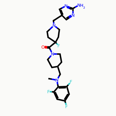 CN(CC1CCN(C(=O)C2(F)CCN(Cc3cnc(N)nc3)CC2)CC1)c1c(F)cc(F)cc1F